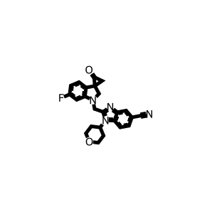 N#Cc1ccc2c(c1)nc(CN1CC3(CC3=O)c3ccc(F)cc31)n2C1CCOCC1